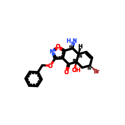 N[C@@H]1c2onc(OCc3ccccc3)c2C(=O)[C@@]2(O)C[C@@H](Br)C=C[C@@H]12